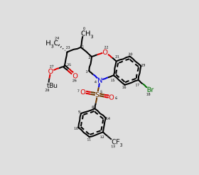 CC(C1CN(S(=O)(=O)c2cccc(C(F)(F)F)c2)c2cc(Br)ccc2O1)[C@@H](C)C(=O)OC(C)(C)C